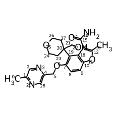 Cc1cnc(COc2ccc3oc(C)c(C(N)=O)c3c2C2(CO)CCOCC2)cn1